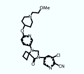 COCCN1CCC(Oc2ccc(N3CN(c4cnc(C#N)c(Cl)c4)C(=O)C34CCC4)cn2)CC1